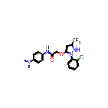 CN(C)c1ccc(NC(=O)COC2=CC(C(F)(F)F)NN2c2ccccc2Cl)cc1